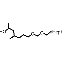 CCCCCCCCOCOCCCC(C)CC(C)O